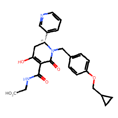 O=C(O)CNC(=O)C1=C(O)C[C@H](c2cccnc2)N(Cc2ccc(OCC3CC3)cc2)C1=O